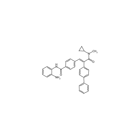 CN(C(=O)/C(=C/c1ccc(C(=O)Nc2ccccc2N)cc1)c1ccc(-c2ccccc2)cc1)C1CC1